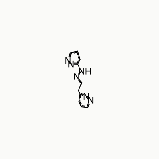 C(Cc1cccnn1)=NNc1cccnn1